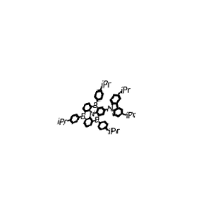 CC(C)c1ccc(B2c3cccc4c3N3c5c2cccc5B(c2ccc(C(C)C)cc2)c2cc(-n5c6ccc(C(C)C)cc6c6cc(C(C)C)ccc65)cc(c23)B4c2ccc(C(C)C)cc2)cc1